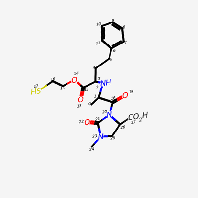 CC(NC(CCc1ccccc1)C(=O)OCCS)C(=O)N1C(=O)N(C)CC1C(=O)O